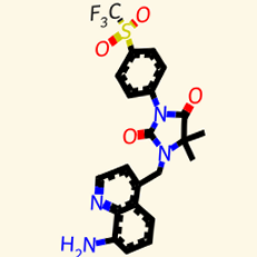 CC1(C)C(=O)N(c2ccc(S(=O)(=O)C(F)(F)F)cc2)C(=O)N1Cc1ccnc2c(N)cccc12